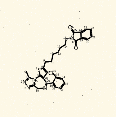 Cc1nnc2n1-c1sc(CCCCCCCN3C(=O)c4ccccc4C3=O)cc1C(c1ccccc1Cl)=NC2